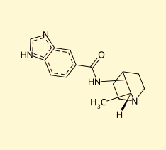 C[C@@H]1C(NC(=O)c2ccc3[nH]cnc3c2)C2CCN1CC2